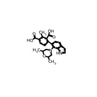 Cc1c(C(=O)O)ccc(-c2ccc3cc[nH]c3c2N2CC(C)OC(C)C2)c1C(=O)O